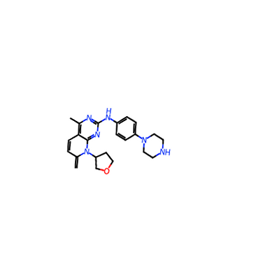 C=C1C=Cc2c(C)nc(Nc3ccc(N4CCNCC4)cc3)nc2N1C1CCOC1